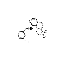 O=S1(=O)CCc2c1ccc1ncnc(NCc3cccc(O)c3)c21